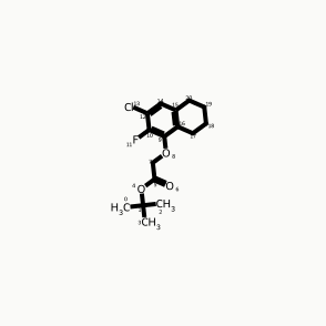 CC(C)(C)OC(=O)COc1c(F)c(Cl)cc2c1CCCC2